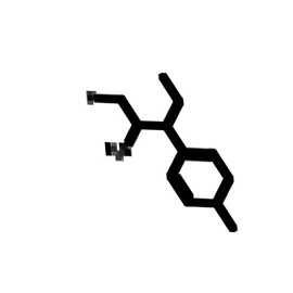 CCC(C1=CCC(C)C=C1)C(N)CF